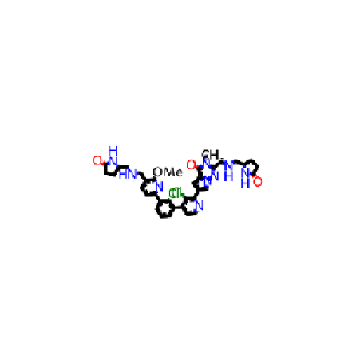 COc1nc(-c2cccc(-c3ccnc(-c4cc5c(=O)n(C)c(CNCC6CCC(=O)N6)nn5c4)c3Cl)c2Cl)ccc1CNCC1CCC(=O)N1